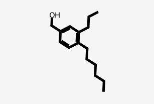 CCCCCCc1ccc(CO)cc1CCC